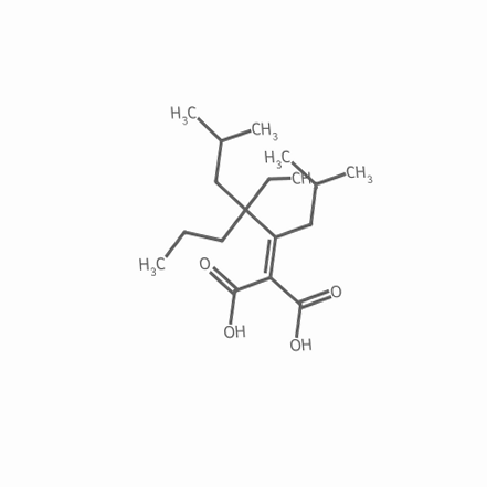 CCCC(CC)(CC(C)C)C(CC(C)C)=C(C(=O)O)C(=O)O